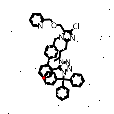 CCCCc1nc(Cl)c(COCc2ccccn2)n1Cc1ccc(-c2ccccc2-c2nnnn2C(c2ccccc2)(c2ccccc2)c2ccccc2)cc1